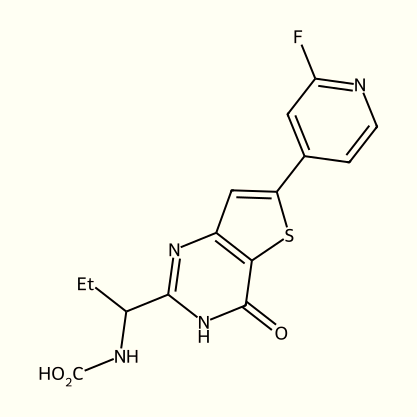 CCC(NC(=O)O)c1nc2cc(-c3ccnc(F)c3)sc2c(=O)[nH]1